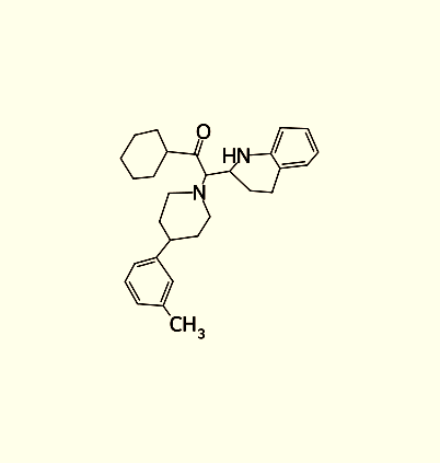 Cc1cccc(C2CCN(C(C(=O)C3CCCCC3)C3CCc4ccccc4N3)CC2)c1